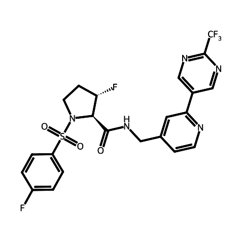 O=C(NCc1ccnc(-c2cnc(C(F)(F)F)nc2)c1)[C@@H]1[C@@H](F)CCN1S(=O)(=O)c1ccc(F)cc1